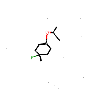 CC(C)OC1CCC(C)(F)CC1